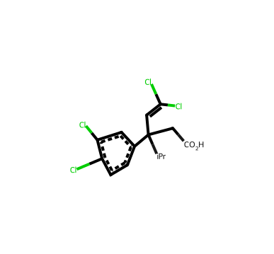 CC(C)C(C=C(Cl)Cl)(CC(=O)O)c1ccc(Cl)c(Cl)c1